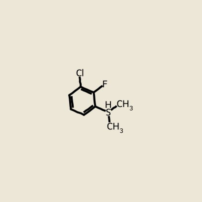 C[SH](C)c1cccc(Cl)c1F